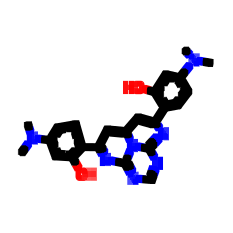 CN(C)c1ccc(C2=CC3=CC(c4ccc(N(C)C)cc4O)=NC4=NC=NC(=N2)N34)c(O)c1